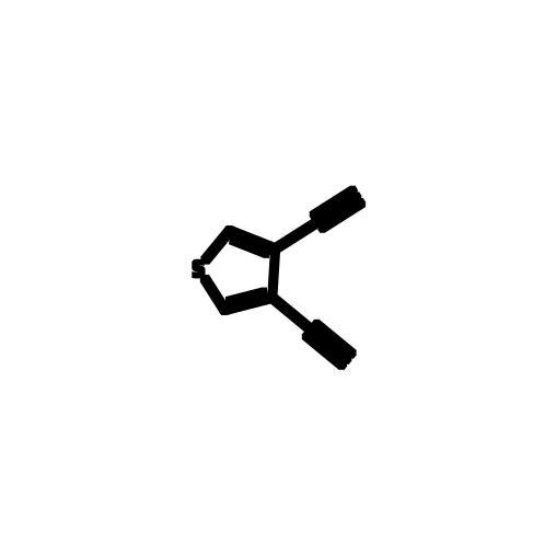 C#Cc1cscc1C#C